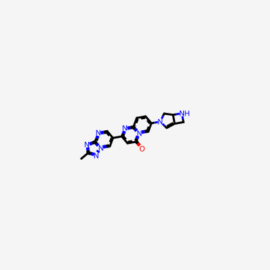 Cc1nc2ncc(-c3cc(=O)n4cc(N5C=C6CNC6C5)ccc4n3)cn2n1